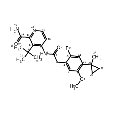 COc1cc(CC(=O)Nc2ccnc(C(N)=O)c2C(C)(C)C)c(F)cc1C1(C)CC1